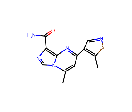 Cc1sncc1-c1cc(C)n2cnc(C(N)=O)c2n1